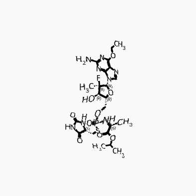 CCOc1nc(N)nc2c1ncn2[C@@H]1O[C@H](CO[P@](=O)(N[C@@H](C)C(=O)OC(C)C)SC[C@H]2NC(=O)NC2=O)[C@@H](O)[C@@]1(C)F